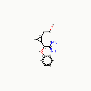 N=C(N)C(Oc1ccccc1)C1CC1CC[O]